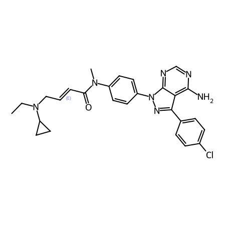 CCN(C/C=C/C(=O)N(C)c1ccc(-n2nc(-c3ccc(Cl)cc3)c3c(N)ncnc32)cc1)C1CC1